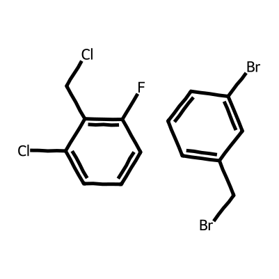 BrCc1cccc(Br)c1.Fc1cccc(Cl)c1CCl